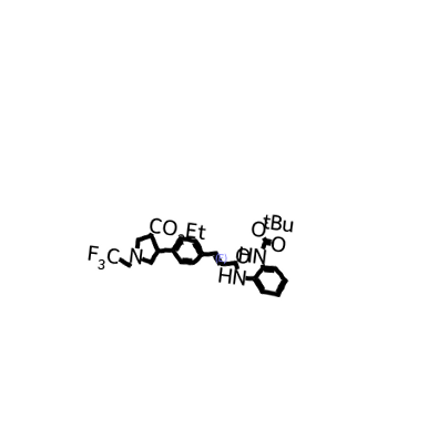 CCOC(=O)C1CN(CC(F)(F)F)CC1c1ccc(/C=C/C(=O)Nc2ccccc2NC(=O)OC(C)(C)C)cc1